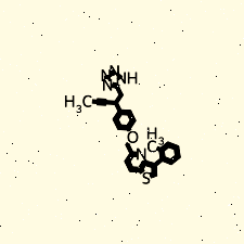 CC#CC(Cc1nnn[nH]1)c1ccc(OCc2ccc3scc(-c4ccccc4C)c3n2)cc1